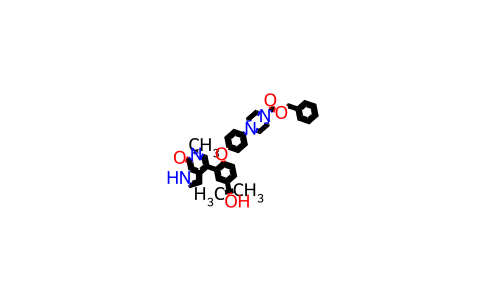 Cn1cc(-c2cc(C(C)(C)O)ccc2Oc2ccc(N3CCN(C(=O)OCc4ccccc4)CC3)cc2)c2cc[nH]c2c1=O